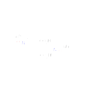 CCCON1C(C)(C)CC(C(CC(=O)O)(C(=O)O)C2CC(C)(C)N(OCCC)C(C)(C)C2)CC1(C)C